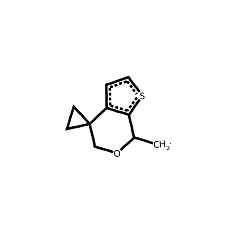 [CH2]C1OCC2(CC2)c2ccsc21